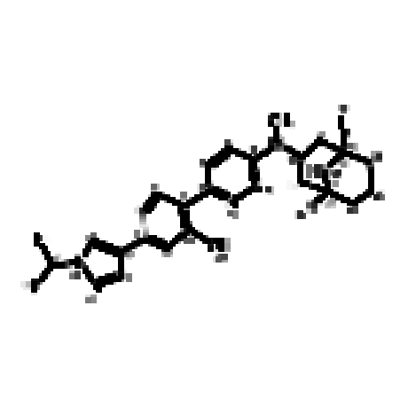 CN(c1ccc(-c2ccc(-c3cnn(C(F)F)c3)cc2O)nn1)C1C[C@H]2CCC[C@@H](C1)N2